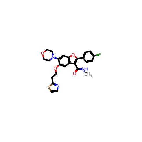 CNC(=O)c1c(-c2ccc(F)cc2)oc2cc(N3CCOCC3)c(OCCc3nccs3)cc12